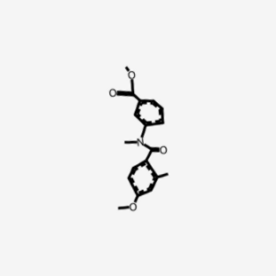 COC(=O)c1cccc(N(C)C(=O)c2ccc(OC)cc2C)c1